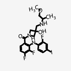 COCC(C)NCC1(O)CN(C(=O)c2ccc(F)c(F)c2Nc2ccc(I)cc2F)C1